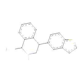 CC1NCC(c2ccc3sccc3c2)c2ccccc21